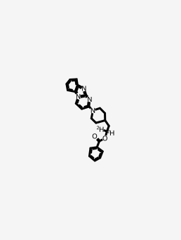 [2H]C([2H])(CC1CCN(c2ccn3c(n2)nc2ccccc23)CC1)OC(=O)c1ccccc1